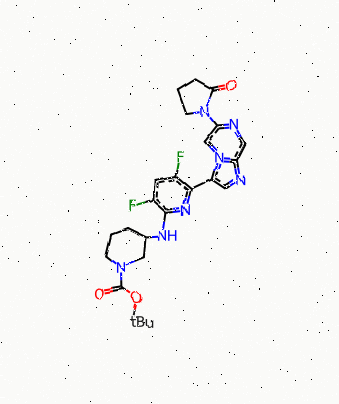 CC(C)(C)OC(=O)N1CCCC(Nc2nc(-c3cnc4cnc(N5CCCC5=O)cn34)c(F)cc2F)C1